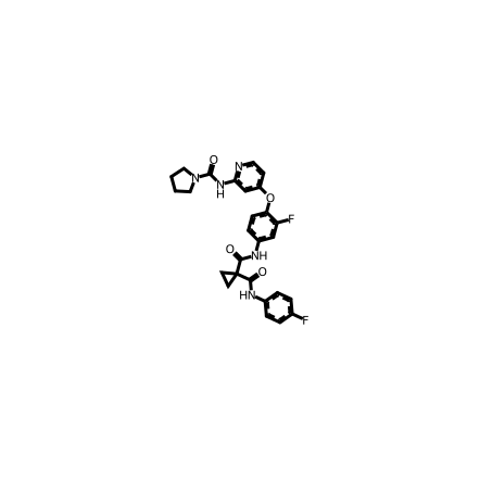 O=C(Nc1cc(Oc2ccc(NC(=O)C3(C(=O)Nc4ccc(F)cc4)CC3)cc2F)ccn1)N1CCCC1